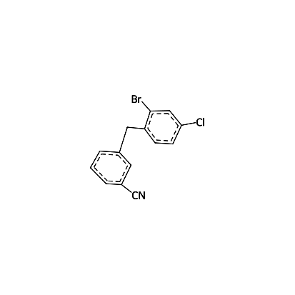 N#Cc1cccc(Cc2ccc(Cl)cc2Br)c1